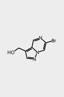 OCc1cnn2cc(Br)ncc12